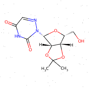 CC1(C)O[C@@H]2[C@H](O1)[C@H](n1ncc(=O)[nH]c1=O)O[C@@H]2CO